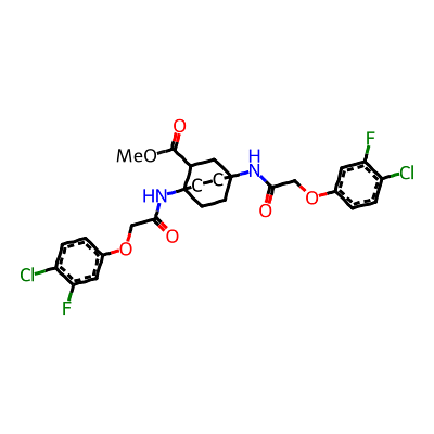 COC(=O)C1CC2(NC(=O)COc3ccc(Cl)c(F)c3)CCC1(NC(=O)COc1ccc(Cl)c(F)c1)CC2